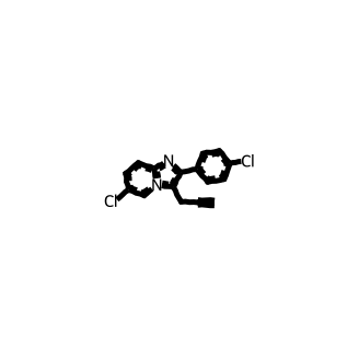 C#CCc1c(-c2ccc(Cl)cc2)nc2ccc(Cl)cn12